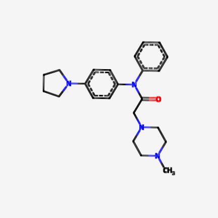 CN1CCN(CC(=O)N(c2ccccc2)c2ccc(N3CCCC3)cc2)CC1